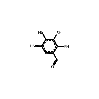 O=[C]c1cc(S)c(S)c(S)c1S